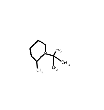 CC1CC[CH]CN1C(C)(C)C